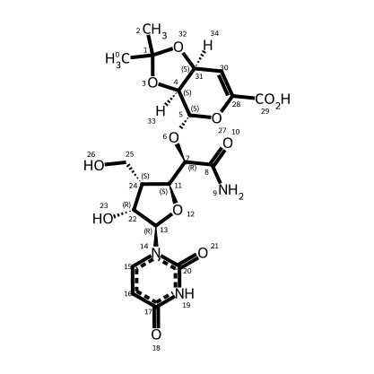 CC1(C)O[C@@H]2[C@@H](O[C@@H](C(N)=O)[C@H]3O[C@@H](n4ccc(=O)[nH]c4=O)[C@H](O)[C@@H]3CO)OC(C(=O)O)=C[C@@H]2O1